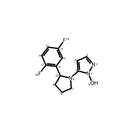 On1nccc1N1CCCC1c1cc(F)ccc1F